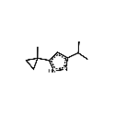 CC(C)c1cc(C2(C)CC2)[nH]n1